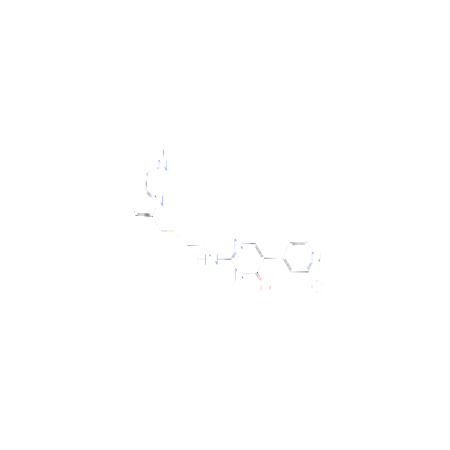 COc1cc(-c2cnc(NCCSCc3csc(CN(C)C)n3)n(C)c2=O)ccn1